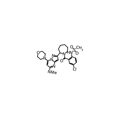 CNc1cc(N2CCOCC2)n2nc(C3CCCCCN3C(=O)c3cc(Cl)ccc3NS(C)(=O)=O)cc2n1